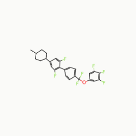 CC1CCC(c2cc(F)c(-c3ccc(C(F)(F)Oc4cc(F)c(F)c(F)c4)cc3)c(F)c2)CC1